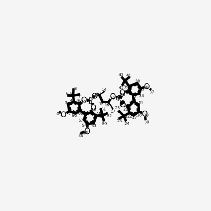 COc1cc(C(C)(C)C)c2op(O[C@@H](C)C[C@H](C)Op3oc4c(C(C)(C)C)cc(OC)cc4c4cc(OC)cc(C(C)(C)C)c4o3)oc3c(C(C)(C)C)cc(OC)cc3c2c1